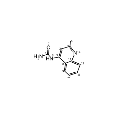 Cc1cc(NC(N)=O)c2ccccc2n1